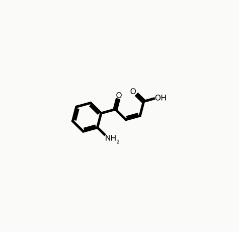 Nc1ccccc1C(=O)/C=C\C(=O)O